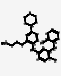 COCCOc1cc(N2CCOCC2)ccc1Nc1ncc(Br)c(Nc2ccccc2S)n1